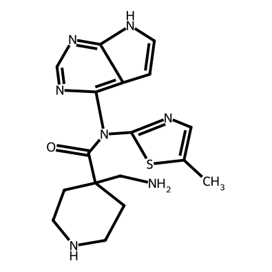 Cc1cnc(N(C(=O)C2(CN)CCNCC2)c2ncnc3[nH]ccc23)s1